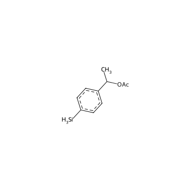 CC(=O)OC(C)c1ccc([SiH3])cc1